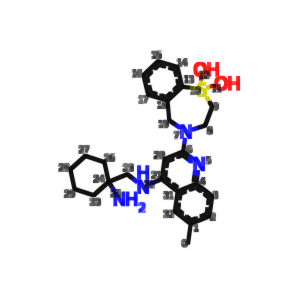 Cc1ccc2nc(N3CCS(O)(O)c4ccccc4C3)cc(NCC3(N)CCCCC3)c2c1